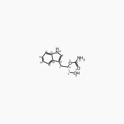 NC(=O)O[C@H](CO)Cc1c[nH]c2ccccc12